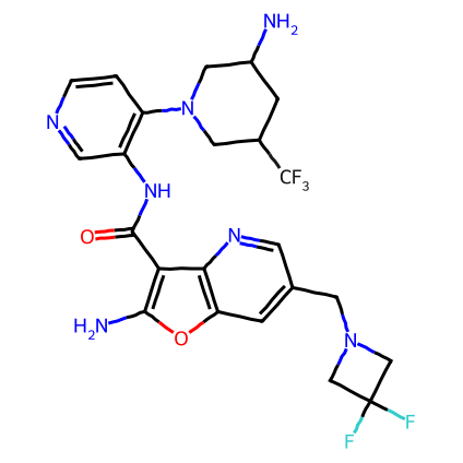 Nc1oc2cc(CN3CC(F)(F)C3)cnc2c1C(=O)Nc1cnccc1N1CC(N)CC(C(F)(F)F)C1